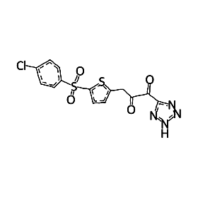 O=C(Cc1ccc(S(=O)(=O)c2ccc(Cl)cc2)s1)C(=O)c1nn[nH]n1